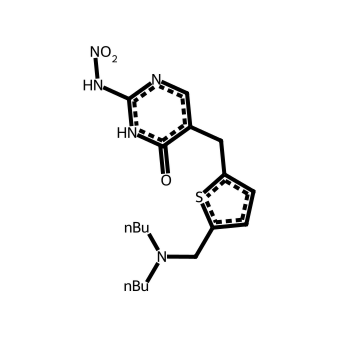 CCCCN(CCCC)Cc1ccc(Cc2cnc(N[N+](=O)[O-])[nH]c2=O)s1